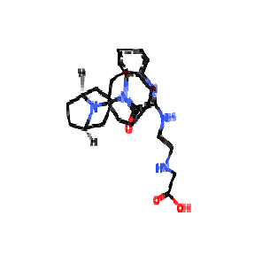 O=C(O)CNCCNc1nc2ccccc2n([C@H]2C[C@H]3CC[C@@H](C2)N3C2CCCCCCC2)c1=O